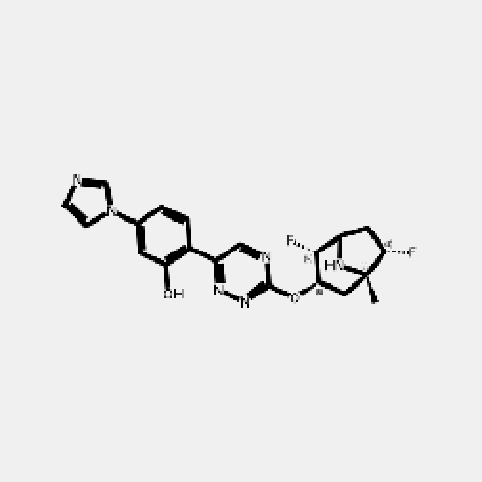 C[C@]12C[C@@H](Oc3ncc(-c4ccc(-n5ccnc5)cc4O)nn3)[C@H](F)C(C[C@@H]1F)N2